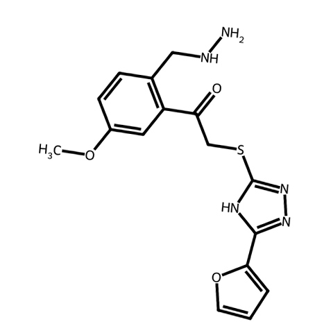 COc1ccc(CNN)c(C(=O)CSc2nnc(-c3ccco3)[nH]2)c1